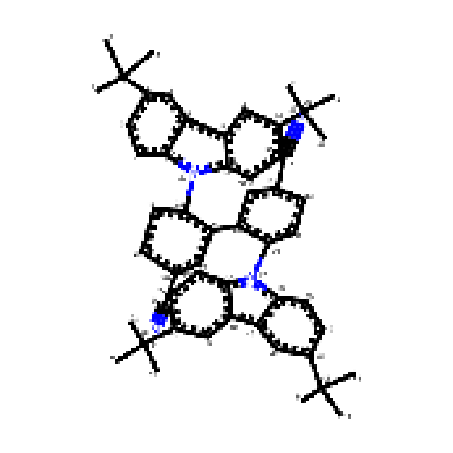 CC(C)(C)c1ccc2c(c1)c1cc(C(C)(C)C)ccc1n2-c1ccc(C#N)cc1-c1cc(C#N)ccc1-n1c2ccc(C(C)(C)C)cc2c2cc(C(C)(C)C)ccc21